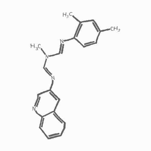 Cc1ccc(/N=C/N(C)/C=N/c2cnc3ccccc3c2)c(C)c1